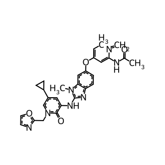 C=N/C(=C\C(=C/C)Oc1ccc2nc(Nc3cc(C4CC4)cn(Cc4ncco4)c3=O)n(C)c2c1)NC(C)=O